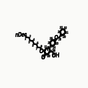 CCCCCCCCCCCCCCCCCCOc1cn(-c2ccc(OCc3ccccc3)cc2)c(CO)cc1=O